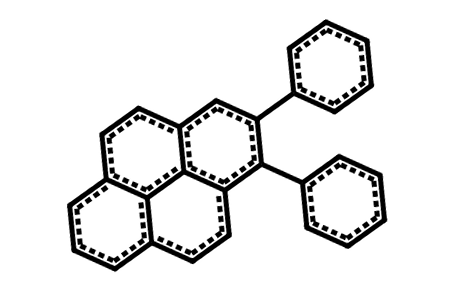 c1ccc(-c2cc3ccc4cccc5ccc(c2-c2ccccc2)c3c45)cc1